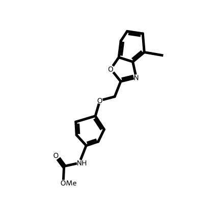 COC(=O)Nc1ccc(OCc2nc3c(C)cccc3o2)cc1